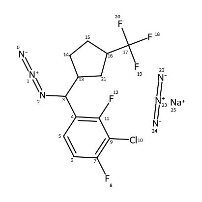 [N-]=[N+]=NC(c1ccc(F)c(Cl)c1F)C1CCC(C(F)(F)F)C1.[N-]=[N+]=[N-].[Na+]